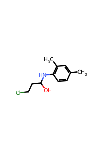 Cc1ccc(NC(O)CCCl)c(C)c1